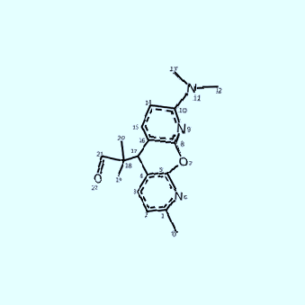 Cc1ccc2c(n1)Oc1nc(N(C)C)ccc1C2C(C)(C)C=O